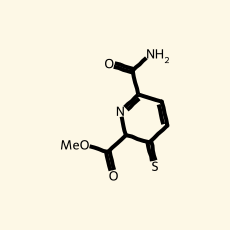 COC(=O)C1N=C(C(N)=O)C=CC1=S